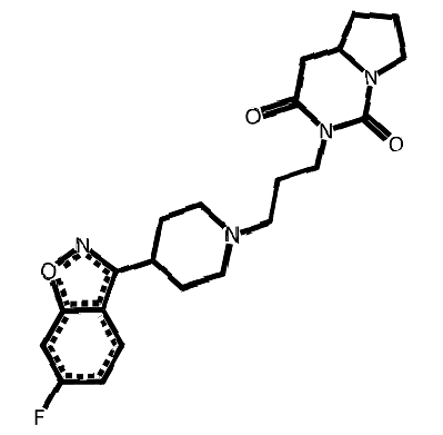 O=C1CC2CCCN2C(=O)N1CCCN1CCC(c2noc3cc(F)ccc23)CC1